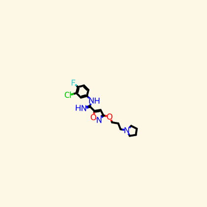 N=C(Nc1ccc(F)c(Cl)c1)c1cc(OCCCN2CCCC2)no1